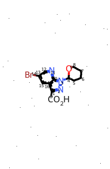 O=C(O)c1nn(C2CCCCO2)c2ncc(Br)cc12